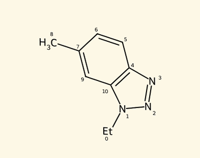 CCn1nnc2ccc(C)cc21